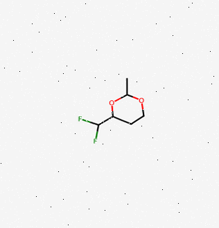 CC1OCCC(C(F)F)O1